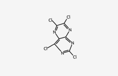 Clc1nc(Cl)c2nc(Cl)c(Cl)nc2n1